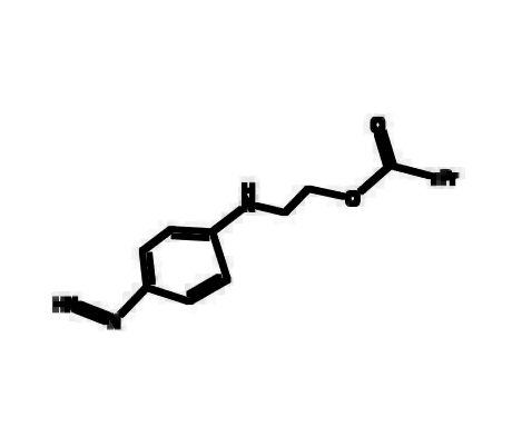 CCCC(=O)OCCNc1ccc(N=N)cc1